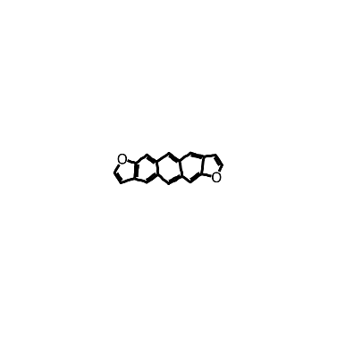 c1cc2cc3cc4cc5occc5cc4cc3cc2o1